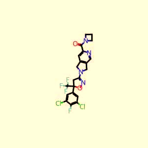 O=C(c1cc2c(cn1)CN(C1=NOC(c3cc(Cl)c(F)c(Cl)c3)(C(F)(F)F)C1)C2)N1CCC1